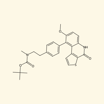 COc1ccc2[nH]c(=O)c3sccc3c2c1-c1ccc(CCN(C)C(=O)OC(C)(C)C)cc1